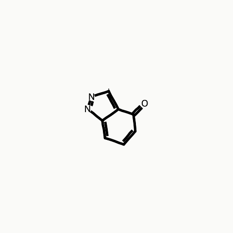 O=C1C=CC=C2N=N[C]=C12